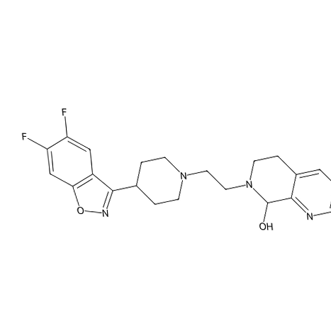 OC1c2ncccc2CCN1CCN1CCC(c2noc3cc(F)c(F)cc23)CC1